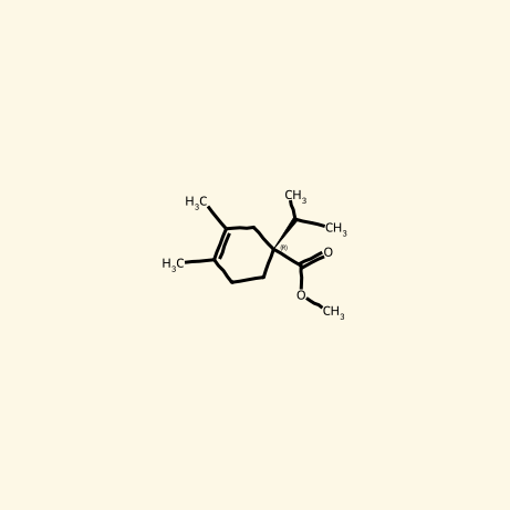 COC(=O)[C@]1(C(C)C)CCC(C)=C(C)C1